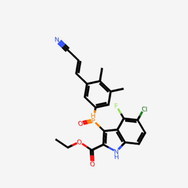 CCOC(=O)c1[nH]c2ccc(Cl)c(F)c2c1[PH](=O)c1cc(C)c(C)c(C=CC#N)c1